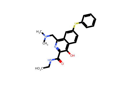 CN(C)Cc1nc(C(=O)NCC(=O)O)c(O)c2ccc(Sc3ccccc3)cc12